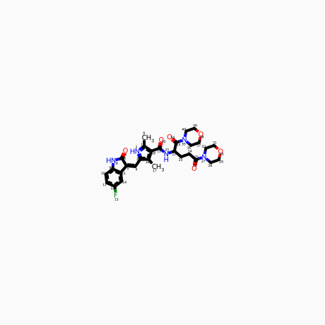 Cc1[nH]c(/C=C2\C(=O)Nc3ccc(F)cc32)c(C)c1C(=O)NC(CCC(=O)N1CCOCC1)C(=O)N1CCOCC1